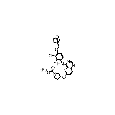 CC(C)(C)OC(=O)N1CC[C@H](Oc2ccc3ncnc(Nc4ccc(OCC56COC(C5)C6)c(Cl)c4F)c3n2)C1